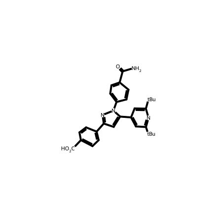 CC(C)(C)c1cc(-c2cc(-c3ccc(C(=O)O)cc3)nn2-c2ccc(C(N)=O)cc2)cc(C(C)(C)C)n1